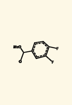 COC([O])c1ccc(F)c(F)c1